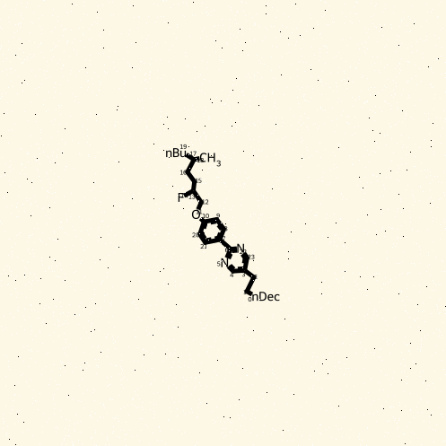 CCCCCCCCCCCCc1cnc(-c2ccc(OCC(F)CCC(C)CCCC)cc2)nc1